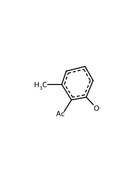 CC(=O)c1c(C)cccc1[O]